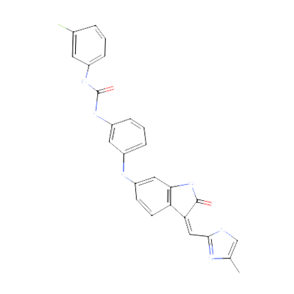 Cc1c[nH]c(C=C2C(=O)Nc3cc(Nc4cccc(NC(=O)Nc5cccc(F)c5)c4)ccc32)n1